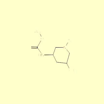 CC(=O)N1CC(C)CC(NC(=O)OC(C)(C)C)C1